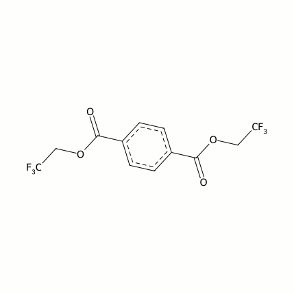 O=C(OCC(F)(F)F)c1ccc(C(=O)OCC(F)(F)F)cc1